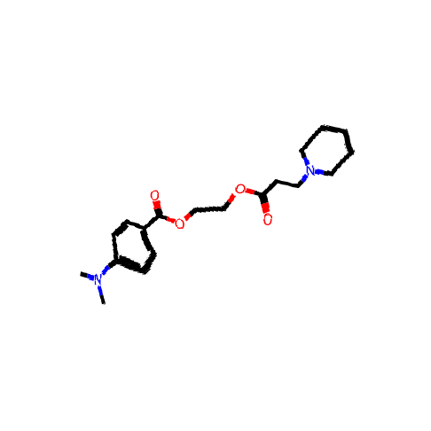 CN(C)c1ccc(C(=O)OCCOC(=O)CCN2CCCCC2)cc1